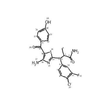 CC(C(N)=O)N(c1ccc(Cl)c(F)c1)c1nc(N)c(C(=O)c2ccc(O)cc2)s1